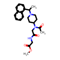 COC(=O)CNC(=O)CN(C(C)=O)C1CCN(C(C)c2cccc3ccccc23)CC1